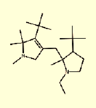 CCN1CCC(C(C)(C)C)C1(C)CC1=C(C(C)(C)C)C(C)(C)N(C)C1